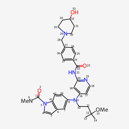 CNC(=O)n1ccc2cc(N(CCC(C)(C)OC)c3ccnc(NC(=O)c4ccc(CN5CCC(O)CC5)cc4)c3)ccc21